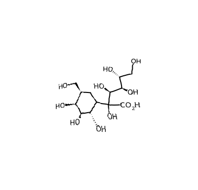 O=C(O)C(O)(C1C[C@H](CO)[C@H](O)[C@H](O)[C@H]1O)[C@@H](O)[C@H](O)[C@H](O)CO